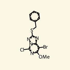 COc1nc(Cl)n2nc(SCc3ccccc3)nc2c1Br